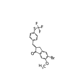 COc1cc2c(cc1Br)CC(=Cc1ccc(SC(F)(F)F)cc1)C2=O